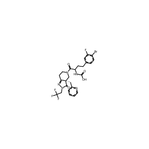 O=C(O)NC(CCc1ccc(Br)c(F)c1)C(=O)N1CCC2=NN(CC(F)(F)F)C(=O)[C@]2(Cc2ccccn2)C1